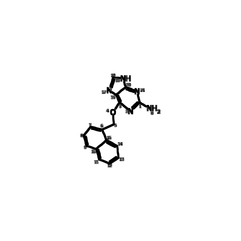 Nc1nc(OCc2cccc3ccccc23)c2nc[nH]c2n1